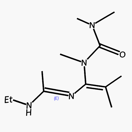 CCN/C(C)=N/C(=C(C)C)N(C)C(=O)N(C)C